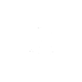 O=Cc1[c]c(F)ccc1F